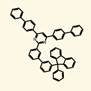 c1ccc(-c2ccc(-c3cc(-c4ccc(-c5ccccc5)cc4)nc(-c4cccc(-c5cccc(C6(c7ccccc7)c7ccccc7-c7ccccc76)c5)c4)n3)cc2)cc1